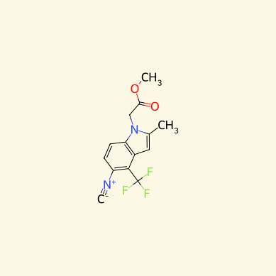 [C-]#[N+]c1ccc2c(cc(C)n2CC(=O)OC)c1C(F)(F)F